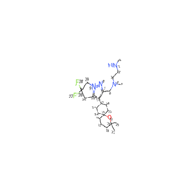 CNCCN(C)Cc1nn2c(c1C1CCC3(CCCC(C)(C)O3)CC1)CC(F)(F)C2